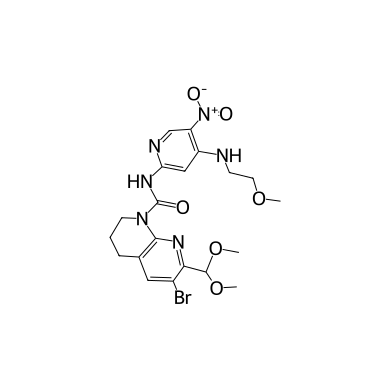 COCCNc1cc(NC(=O)N2CCCc3cc(Br)c(C(OC)OC)nc32)ncc1[N+](=O)[O-]